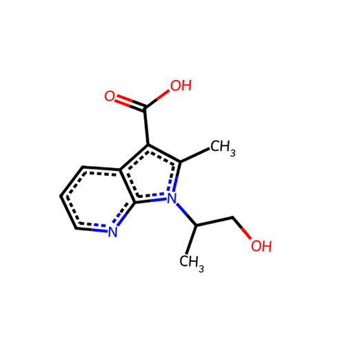 Cc1c(C(=O)O)c2cccnc2n1C(C)CO